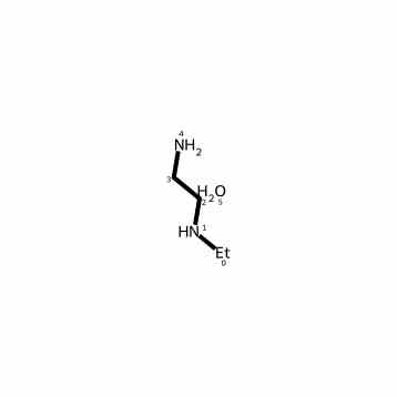 CCNCCN.O